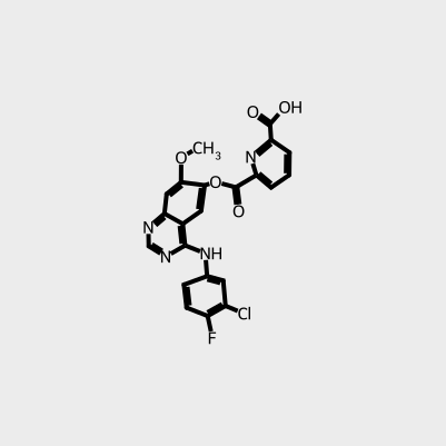 COc1cc2ncnc(Nc3ccc(F)c(Cl)c3)c2cc1OC(=O)c1cccc(C(=O)O)n1